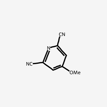 COc1cc(C#N)nc(C#N)c1